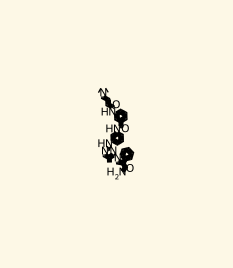 Cc1cnc(Nc2cccc(NC(=O)c3cccc(NC(=O)C=CCN(C)C)c3)c2)nc1-n1cc(C(N)=O)c2ccccc21